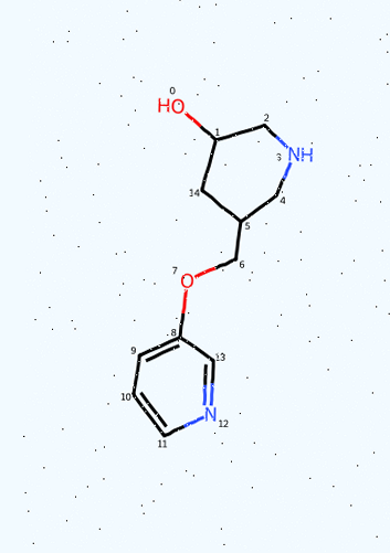 OC1CNCC(COc2cccnc2)C1